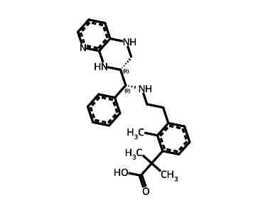 Cc1c(CCN[C@H](c2ccccc2)[C@H]2CNc3cccnc3N2)cccc1C(C)(C)C(=O)O